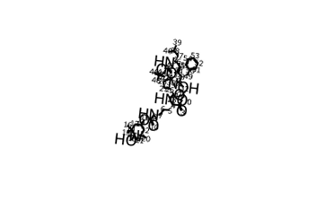 COC(=O)[C@H](CCCNC(=O)OC1CC(C)(C)N(O)C(C)(C)C1)NC(=O)[C@@H]1CCCN1C(O)[C@H](/C=C/[C@H](CC(C)C)NC(=O)OC(C)(C)C)Cc1ccccc1